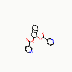 O=C(OC1CC2C3CCC(C3)C2C1OC(=O)c1cccnc1)c1cccnc1